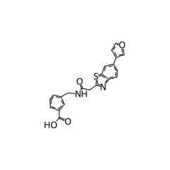 O=C(Cc1nc2ccc(-c3ccoc3)cc2s1)NCc1cccc(C(=O)O)c1